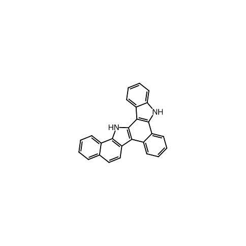 c1ccc2c(c1)ccc1c2[nH]c2c1c1ccccc1c1[nH]c3ccccc3c12